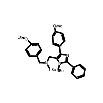 CCCCN(Cc1ccc(OCC)cc1)Cc1c(-c2ccc(OC)cc2)nc(-c2ccccc2)n1CCCC